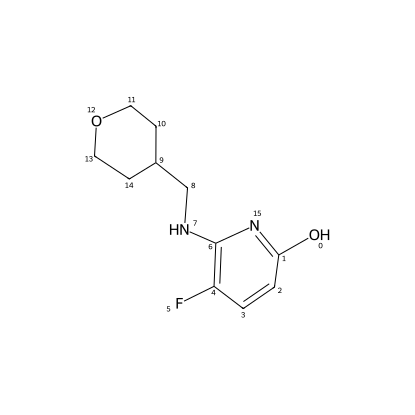 Oc1ccc(F)c(NCC2CCOCC2)n1